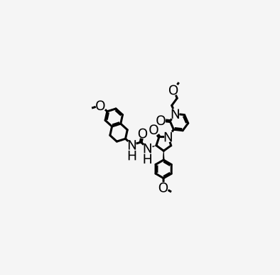 COCCn1cccc(N2C[C@@H](c3ccc(OC)cc3)[C@H](NC(=O)NC3CCc4cc(OC)ccc4C3)C2=O)c1=O